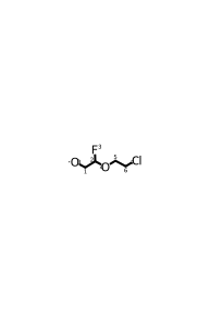 [O]CC(F)OCCCl